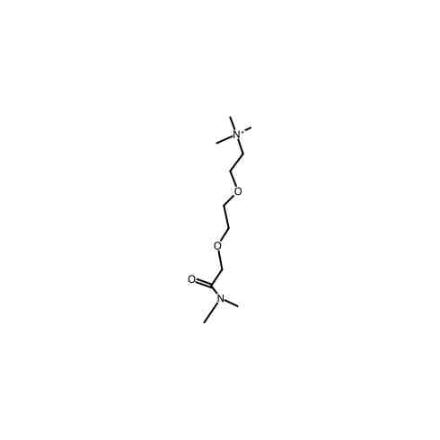 CN(C)C(=O)COCCOCC[N+](C)(C)C